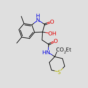 CCOC(=O)C1(NC(=O)CC2(O)C(=O)Nc3c(C)cc(C)cc32)CCSCC1